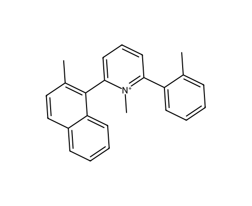 Cc1ccccc1-c1cccc(-c2c(C)ccc3ccccc23)[n+]1C